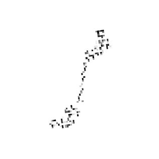 CC1=C(/C=C/C(C)=C/C=C/C(C)=C/C=C/C=C(C)/C=C/C=C(C)/C=C/C2=C(C)C(=O)C(OC(=O)C(NC(=O)c3cccnc3)C(C)C)CC2(C)C)C(C)(C)CC(OC(=O)C(NC(=O)c2cccnc2)C(C)C)C1=O